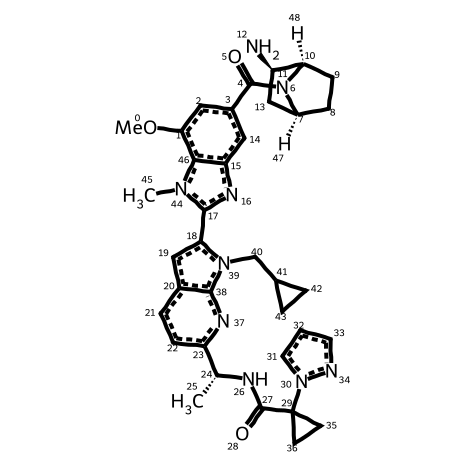 COc1cc(C(=O)N2[C@H]3CC[C@@H]2[C@H](N)C3)cc2nc(-c3cc4ccc([C@@H](C)NC(=O)C5(n6cccn6)CC5)nc4n3CC3CC3)n(C)c12